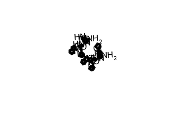 Nc1ncc(NC(=O)C(=O)N(Cc2ccccn2)Cc2cccc3ccccc23)c2n[nH]cc12.Nc1ncc(NC(=O)C(=O)N(Cc2ccccn2)Cc2cccc3ccccc23)c2nn(C3CCCCO3)cc12